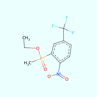 CCOP(C)(=O)c1cc(C(F)(F)F)ccc1[N+](=O)[O-]